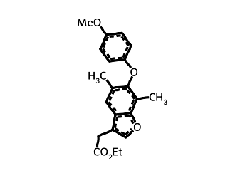 CCOC(=O)Cc1coc2c(C)c(Oc3ccc(OC)cc3)c(C)cc12